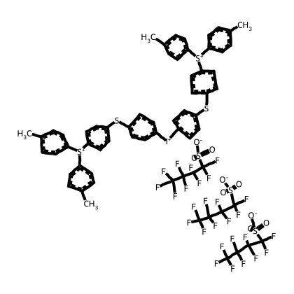 Cc1ccc([S+](c2ccc(C)cc2)c2ccc(Sc3ccc([I+]c4ccc(Sc5ccc([S+](c6ccc(C)cc6)c6ccc(C)cc6)cc5)cc4)cc3)cc2)cc1.O=S(=O)([O-])C(F)(F)C(F)(F)C(F)(F)C(F)(F)F.O=S(=O)([O-])C(F)(F)C(F)(F)C(F)(F)C(F)(F)F.O=S(=O)([O-])C(F)(F)C(F)(F)C(F)(F)C(F)(F)F